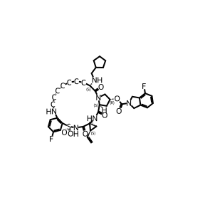 C=C[C@@H]1C[C@@]12NC(=O)[C@@H]1C[C@@H](OC(=O)N3Cc4cccc(F)c4C3)CN1C(=O)[C@@H](NCC1CCCC1)CCCCCCCNc1ccc(F)cc1S(=O)(=O)NC2=O